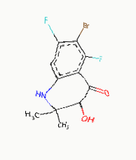 CC1(C)Nc2cc(F)c(Br)c(F)c2C(=O)C1O